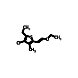 CCO/C=C/c1sc(CC)c(Cl)c1C